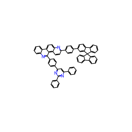 c1ccc(-c2cc(-c3ccc(-c4nc5ccccc5c5ccc6nc(-c7ccc(-c8ccc9c(c8)C8(c%10ccccc%10-c%10ccccc%108)c8ccccc8-9)cc7)ccc6c45)cc3)nc(-c3ccccc3)n2)cc1